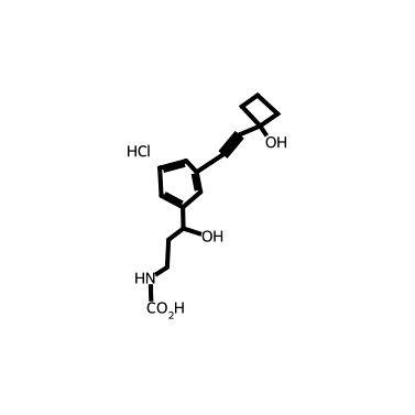 Cl.O=C(O)NCCC(O)c1cccc(C#CC2(O)CCC2)c1